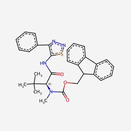 CN(C(=O)OCC1c2ccccc2-c2ccccc21)[C@H](C(=O)Nc1snnc1-c1ccccc1)C(C)(C)C